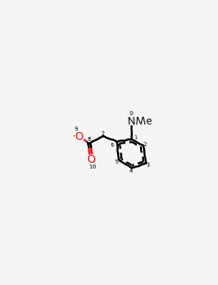 CNc1ccccc1CC([O])=O